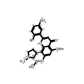 COc1cc(OC)c2c(=O)cc(-c3cc([N+](=O)[O-])ccc3Br)oc2c1[C@@H]1CCN(C)[C@H]1CO